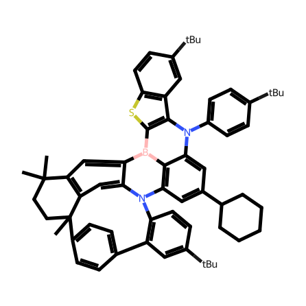 CC(C)(C)c1ccc(N2c3cc(C4CCCCC4)cc4c3B(c3cc5c6cc3N4c3ccc(C(C)(C)C)cc3-c3ccc(cc3)C6(C)CCC5(C)C)c3sc4ccc(C(C)(C)C)cc4c32)cc1